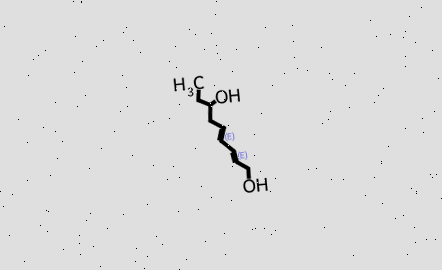 CCC(O)C/C=C/C=C/CO